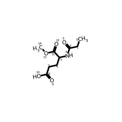 CCC(=O)NC(CCC(=O)O)C(=O)OC